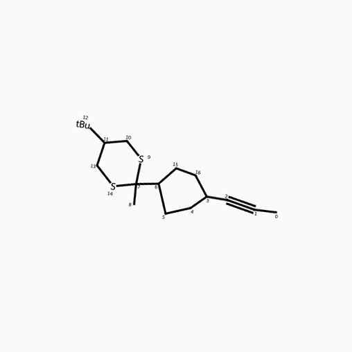 CC#CC1CCC(C2(C)SCC(C(C)(C)C)CS2)CC1